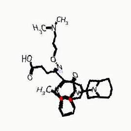 CC1CC2CC(C1)CC(N1C3CCCC1CC(n1c(=O)c(/C(CCC(=O)O)=N/OCCCN(C)C)nc4ccccc41)C3)C2